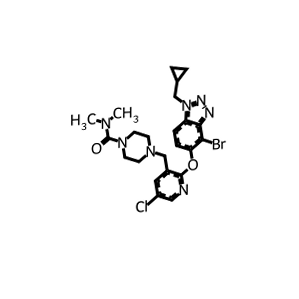 CN(C)C(=O)N1CCN(Cc2cc(Cl)cnc2Oc2ccc3c(nnn3CC3CC3)c2Br)CC1